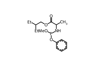 CCC(CC)COC(=O)C(C)NP(OC)Oc1ccccc1